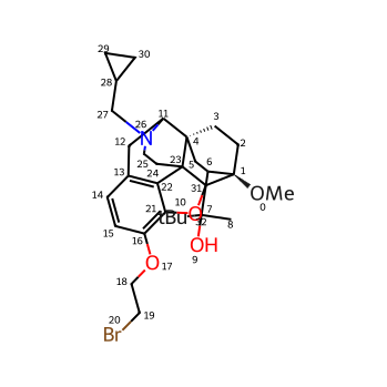 CO[C@]12CC[C@@]3(CC1C(C)(O)C(C)(C)C)C1Cc4ccc(OCCBr)c5c4C3(CCN1CC1CC1)C2O5